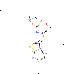 CC(C)(C)OC(=O)N[C@@H](CO)Cc1csc2ccccc12